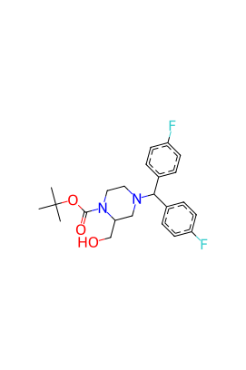 CC(C)(C)OC(=O)N1CCN(C(c2ccc(F)cc2)c2ccc(F)cc2)CC1CO